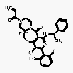 C=CC(=O)N1CCN2C(=O)c3c(NC(C)c4ccccc4)nc(-c4c(O)cccc4F)c(Cl)c3OC[C@H]2C1